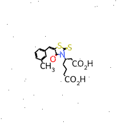 Cc1cccc(C=C2SC(=S)N(C(CCCC(=O)O)CC(=O)O)C2=O)c1